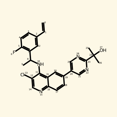 C=Cc1ccc(F)c(C(C)Nc2c(Cl)cnc3ccc(-c4cnc(C(C)(C)O)nc4)cc23)c1